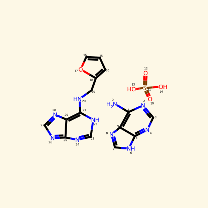 Nc1ncnc2[nH]cnc12.O=S(=O)(O)O.c1coc(CNc2[nH]cnc3ncnc2-3)c1